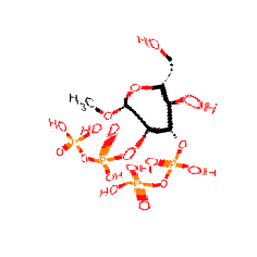 CO[C@H]1O[C@H](CO)[C@@H](O)[C@H](OP(=O)(O)OP(=O)(O)O)[C@H]1OP(=O)(O)OP(=O)(O)O